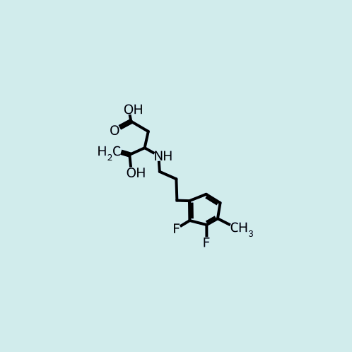 C=C(O)C(CC(=O)O)NCCCc1ccc(C)c(F)c1F